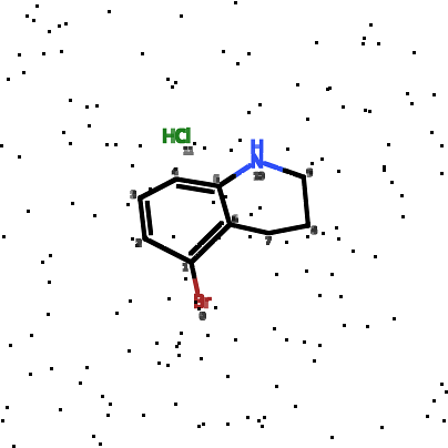 Brc1cccc2c1CCCN2.Cl